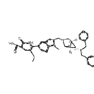 CCc1cc(C(=O)O)c(=O)[nH]c1-c1ccc2c(c1)cc(CN1C[C@@H]3[C@H](C1)[C@H]3N(Cc1ccccc1)Cc1ccccc1)n2C